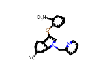 N#Cc1ccc2c(Sc3ccccc3[N+](=O)[O-])cn(Cc3ccccn3)c2c1